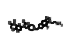 NCCn1nnc2cc3c(c(F)c21)CC(CN1CCC2(CC1)CN(c1cnc4c(n1)NC(=O)CO4)C(=O)O2)C3